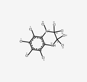 Clc1c(Cl)c(Cl)c2c(c1Cl)NC(Cl)(Cl)C(Cl)(Cl)N2Cl